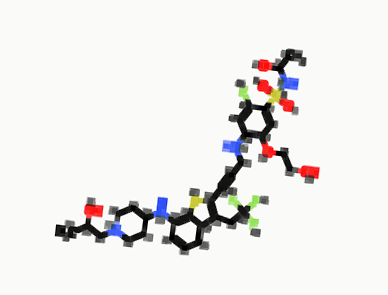 CC(=O)NS(=O)(=O)c1cc(OCCO)c(NCC#Cc2sc3c(NC4CCN(CC(C)O)CC4)cccc3c2CC(F)(F)F)cc1F